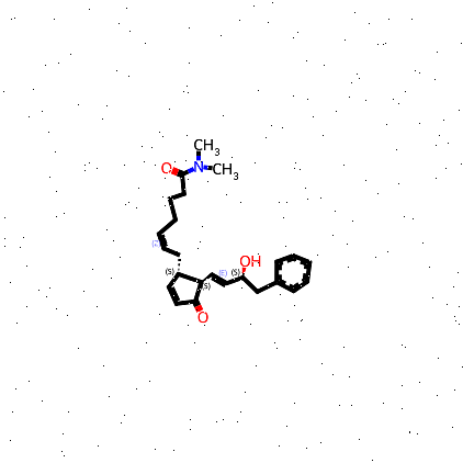 CN(C)C(=O)CCC/C=C\C[C@H]1C=CC(=O)[C@@H]1/C=C/[C@@H](O)Cc1ccccc1